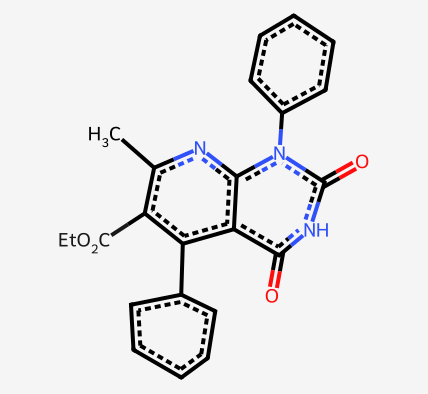 CCOC(=O)c1c(C)nc2c(c1-c1ccccc1)c(=O)[nH]c(=O)n2-c1ccccc1